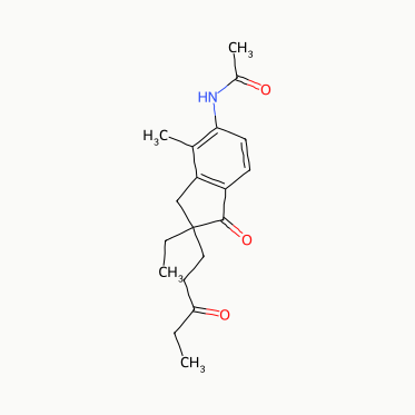 CCC(=O)CCC1(CC)Cc2c(ccc(NC(C)=O)c2C)C1=O